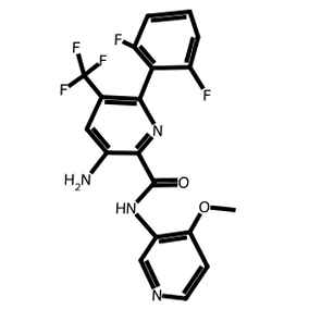 COc1ccncc1NC(=O)c1nc(-c2c(F)cccc2F)c(C(F)(F)F)cc1N